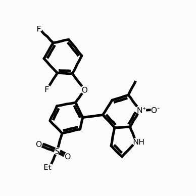 CCS(=O)(=O)c1ccc(Oc2ccc(F)cc2F)c(-c2cc(C)[n+]([O-])c3[nH]ccc23)c1